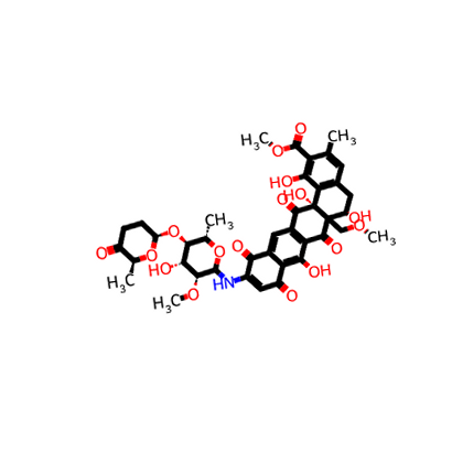 COCC12C(=O)c3c(cc4c(c3O)C(=O)C=C(NC3O[C@@H](C)[C@H](O[C@@H]5CCC(=O)[C@H](C)O5)[C@@H](O)[C@H]3OC)C4=O)C(=O)[C@@]1(O)c1c(cc(C)c(C(=O)OC)c1O)C[C@H]2O